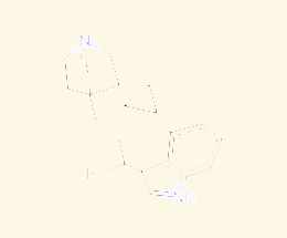 OC(OCC12CCN(CC1)CC2)c1c[nH]c2cccc(C3CC3)c12